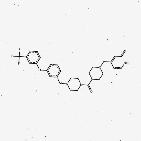 C=C/C=C(\C=C/N)CN1CCC(C(=O)N2CCN(Cc3cccc(Oc4cccc(C(F)(F)F)c4)c3)CC2)CC1